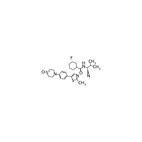 Cc1nc([C@@H]2CC[C@H](F)CC2C(=O)N[C@H](C#N)C(C)C)c(-c2ccc(N3CC[S+]([O-])CC3)cc2)s1